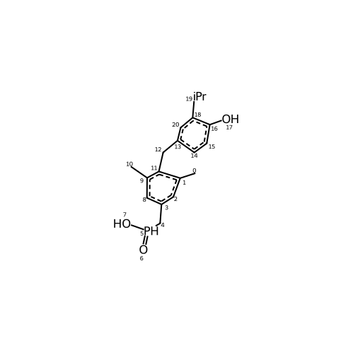 Cc1cc(C[PH](=O)O)cc(C)c1Cc1ccc(O)c(C(C)C)c1